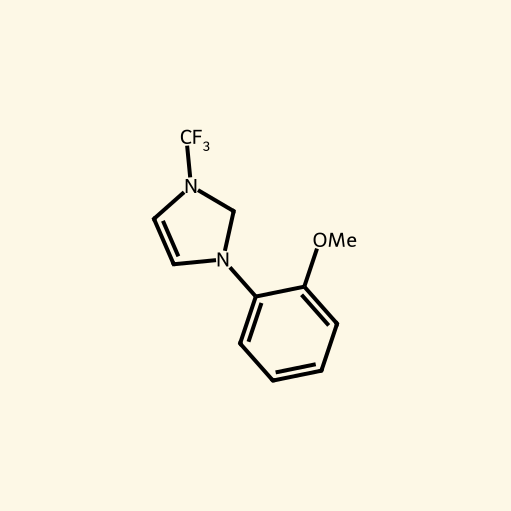 COc1ccccc1N1C=CN(C(F)(F)F)C1